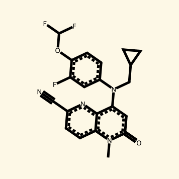 Cn1c(=O)cc(N(CC2CC2)c2ccc(OC(F)F)c(F)c2)c2nc(C#N)ccc21